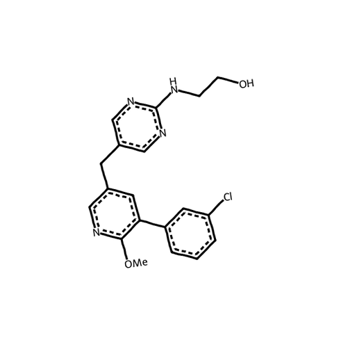 COc1ncc(Cc2cnc(NCCO)nc2)cc1-c1cccc(Cl)c1